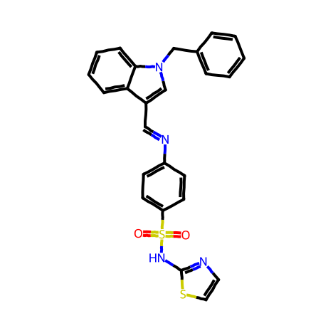 O=S(=O)(Nc1nccs1)c1ccc(N=Cc2cn(Cc3ccccc3)c3ccccc23)cc1